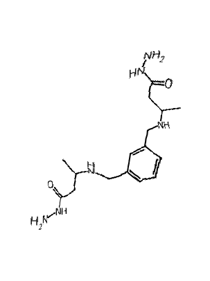 CC(CC(=O)NN)NCc1cccc(CNC(C)CC(=O)NN)c1